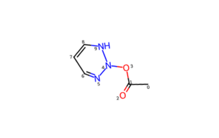 CC(=O)ON1N=CC=CN1